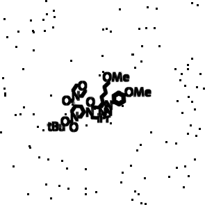 COCCCCc1c(C(=O)N(CC(C)C)[C@H]2C[C@@H](C(=O)N3CCOCC3)CN(C(=O)OC(C)(C)C)C2)nnn1-c1ccc(OC)cc1